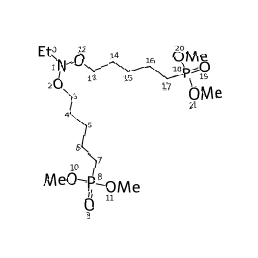 CCN(OCCCCCP(=O)(OC)OC)OCCCCCP(=O)(OC)OC